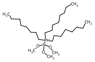 CCCCCCCC[PH](CCCCCCCC)(CCCCCCCC)[Si](OC)(OC)OC